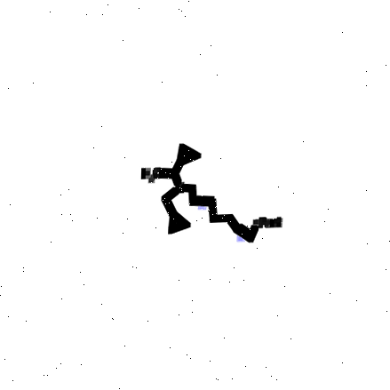 C=C(C1CC1)N(C/C=C/CC/C=C\CCCCC)CC1CC1